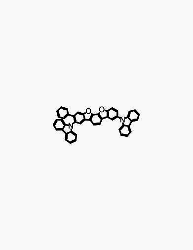 c1ccc(-c2cc3oc4c(ccc5c6cc(-n7c8ccccc8c8ccccc87)ccc6oc54)c3cc2-n2c3ccccc3c3ccccc32)cc1